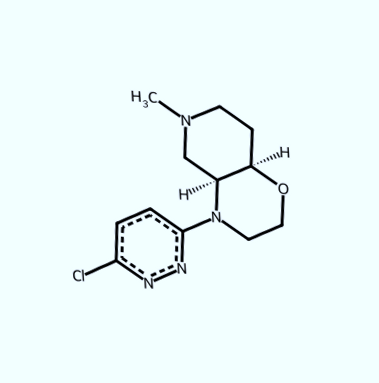 CN1CC[C@H]2OCCN(c3ccc(Cl)nn3)[C@H]2C1